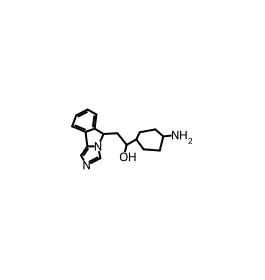 NC1CCC(C(O)CC2c3ccccc3-c3cncn32)CC1